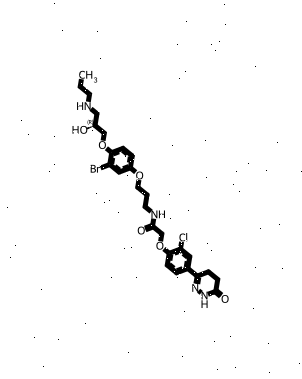 CCCNC[C@@H](O)COc1ccc(OCCCNC(=O)COc2ccc(C3=NNC(=O)CC3)cc2Cl)cc1Br